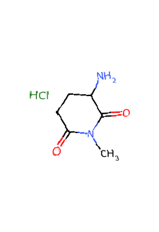 CN1C(=O)CCC(N)C1=O.Cl